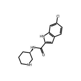 O=C(N[C@@H]1CCCNC1)c1cc2ccc(Cl)cc2[nH]1